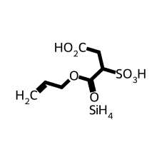 C=CCOC(=O)C(CC(=O)O)S(=O)(=O)O.[SiH4]